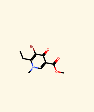 CCc1c(Br)c(=O)c(C(=O)OC)cn1C